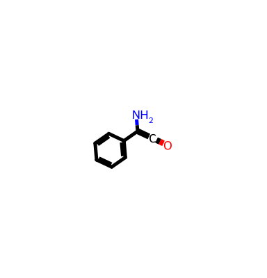 NC(=C=O)c1ccccc1